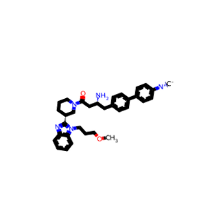 [C-]#[N+]c1ccc(-c2ccc(C[C@@H](N)CC(=O)N3CCC[C@@H](c4nc5ccccc5n4CCCOC)C3)cc2)cc1